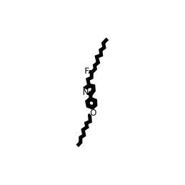 CCCCCCCCCOc1ccc(-c2ccc(CCC(F)CCCCCCCCC)cn2)cc1